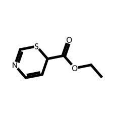 CCOC(=O)C1C=CN=CS1